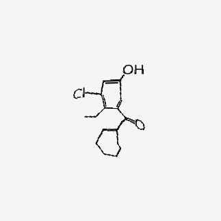 CCc1c(Cl)cc(O)cc1C(=O)C1CCCCC1